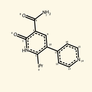 CC(C)c1[nH]c(=O)c(C(N)=O)cc1-c1ccncc1